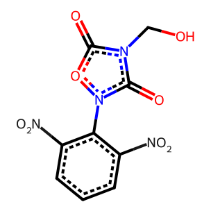 O=c1on(-c2c([N+](=O)[O-])cccc2[N+](=O)[O-])c(=O)n1CO